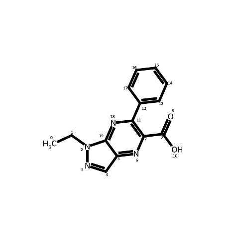 CCn1ncc2nc(C(=O)O)c(-c3ccccc3)nc21